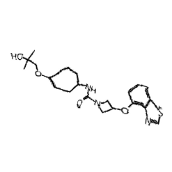 CC(C)(O)COC1CCC(NC(=O)N2CC(Oc3cccc4scnc34)C2)CC1